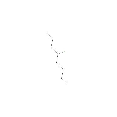 CCCCCCCC(Cl)CCCl